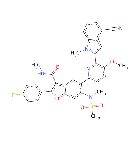 CNC(=O)c1c(-c2ccc(F)cc2)oc2cc(N(C)S(C)(=O)=O)c(-c3ccc(OC)c(-c4cc5c(C#N)cccc5n4C)n3)cc12